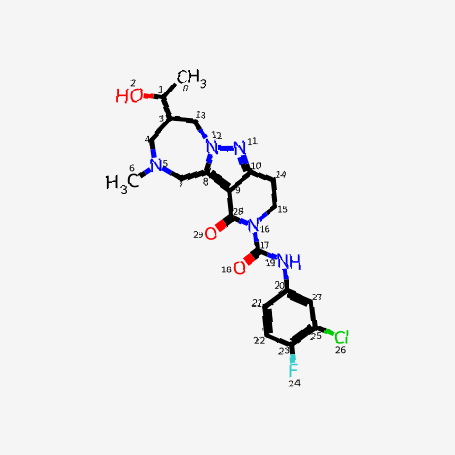 CC(O)C1CN(C)Cc2c3c(nn2C1)CCN(C(=O)Nc1ccc(F)c(Cl)c1)C3=O